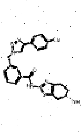 N#Cc1ccc(-c2cn(Cc3cccc(C(=O)Nc4nc5c(s4)C[C@@H](N)CC5)c3)nn2)cc1